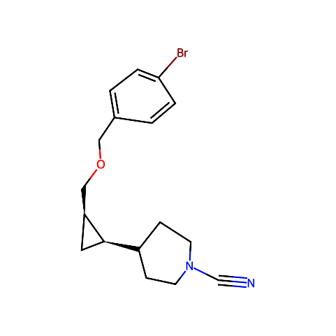 N#CN1CCC([C@H]2C[C@H]2COCc2ccc(Br)cc2)CC1